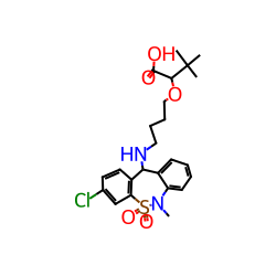 CN1c2ccccc2C(NCCCCOC(C(=O)O)C(C)(C)C)c2ccc(Cl)cc2S1(=O)=O